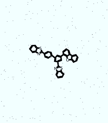 c1ccc2sc(-c3ccc(-c4cc(-c5nc6ccccc6s5)cc(-c5cccc6c5oc5ccccc56)c4)cc3)nc2c1